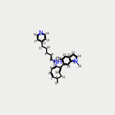 CC1\C=C/C=C(NCCCCCc2ccncc2)\C(c2cc3c(ccn3C)cc2C(F)(F)F)=C\C1